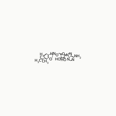 CC(C)(C)c1ccc2c(c1)OCC(NOC[C@H]1O[C@@H](n3cnc4c(N)ncnc43)[C@H](O)[C@@H]1O)C2